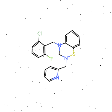 Fc1cccc(Cl)c1CN1CN(Cc2ccccn2)Sc2ccccc21